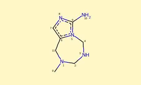 CN1CNCn2c(cnc2N)C1